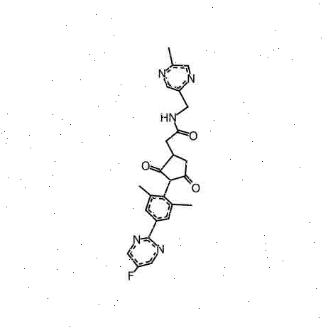 Cc1cnc(CNC(=O)CC2CC(=O)C(c3c(C)cc(-c4ncc(F)cn4)cc3C)C2=O)cn1